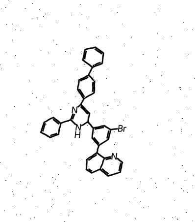 Brc1cc(-c2cccc3cccnc23)cc(C2C=C(c3ccc(-c4ccccc4)cc3)N=C(c3ccccc3)N2)c1